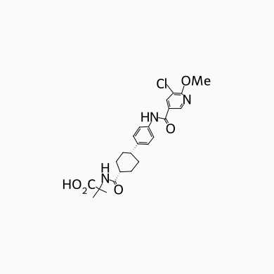 COc1ncc(C(=O)Nc2ccc([C@H]3CC[C@@H](C(=O)NC(C)(C)C(=O)O)CC3)cc2)cc1Cl